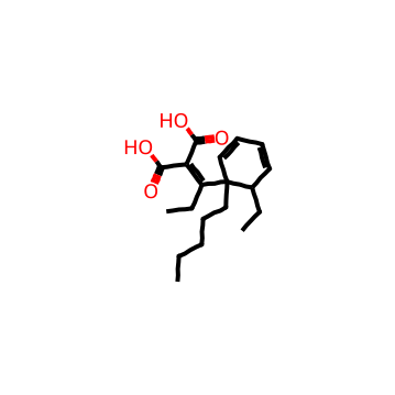 CCCCCC1(C(CC)=C(C(=O)O)C(=O)O)C=CC=CC1CC